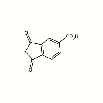 O=C(O)c1ccc2c(c1)C(=O)CC2=O